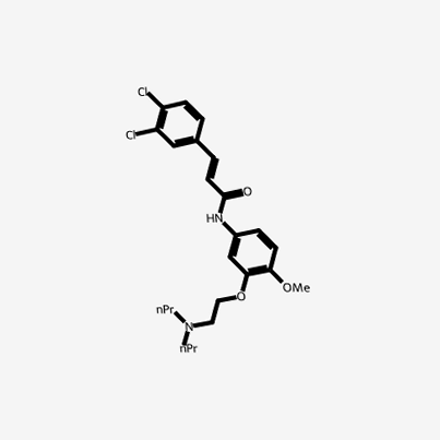 CCCN(CCC)CCOc1cc(NC(=O)C=Cc2ccc(Cl)c(Cl)c2)ccc1OC